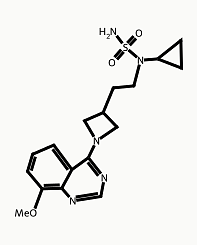 COc1cccc2c(N3CC(CCN(C4CC4)S(N)(=O)=O)C3)ncnc12